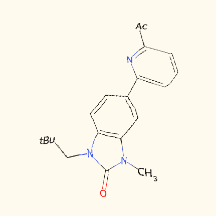 CC(=O)c1cccc(-c2ccc3c(c2)n(C)c(=O)n3CC(C)(C)C)n1